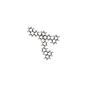 Cc1ccc(-c2ccc(N(c3ccc(-c4ccc5c(ccc6ccccc65)c4)cc3)c3cc(-c4cccc5ccccc45)ccc3-c3ccccc3)cc2)cc1-c1cccc2ccccc12